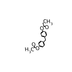 CCC(=O)Oc1ccc(Cc2ccc(OC(C)=O)cc2)cc1